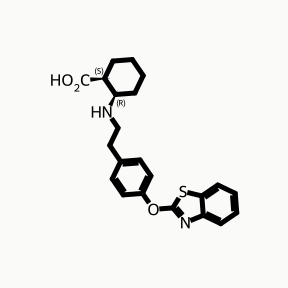 O=C(O)[C@H]1CCCC[C@H]1NCCc1ccc(Oc2nc3ccccc3s2)cc1